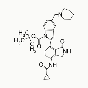 CC(C)(C)OC(=O)n1c(-c2ccc(NC(=O)C3CC3)c3c2C(=O)NC3)cc2cc(CN3CCCCC3)ccc21